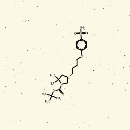 CC(C)(C)OC(=O)N1C[C@@H](CCCCOc2ccc(S(N)(=O)=O)cc2)CC1(C)C